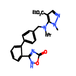 CCCN(Cc1ccc(-c2ccccc2-c2nc(=O)o[nH]2)cc1)c1c(C(=O)OCC)cnn1C